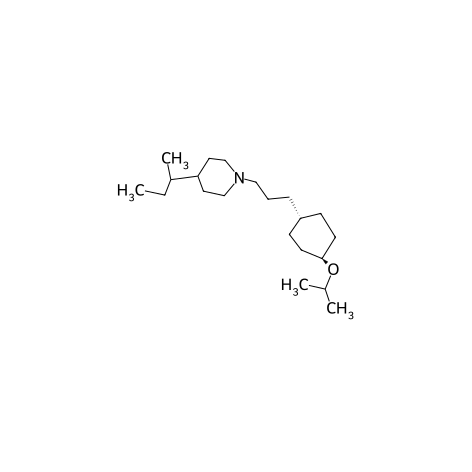 CCC(C)C1CCN(CCC[C@H]2CC[C@H](OC(C)C)CC2)CC1